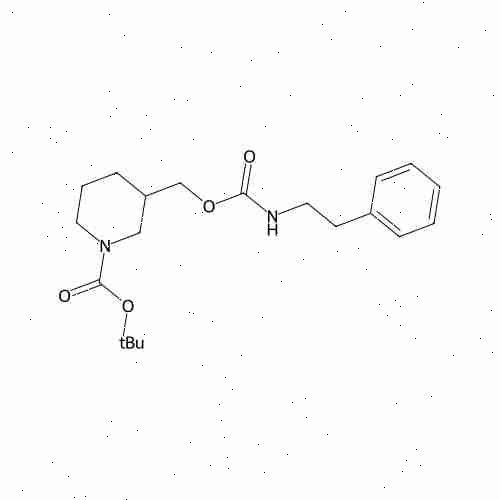 CC(C)(C)OC(=O)N1CCCC(COC(=O)NCCc2ccccc2)C1